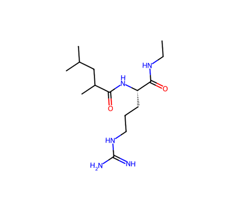 CCNC(=O)[C@H](CCCNC(=N)N)NC(=O)C(C)CC(C)C